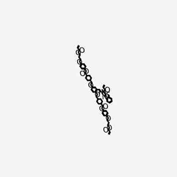 C=CC(=O)OCCCOc1ccc(OC(=O)C2CCC(COc3ccc(OCC4CCC(C(=O)Oc5ccc(OCCCOC(=O)C=C)cc5)CC4)c(/C=N/N(C(=O)C=C)c4nc5ccccc5s4)c3)CC2)cc1